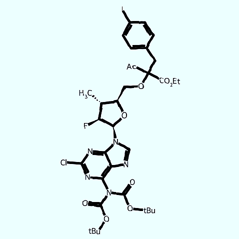 CCOC(=O)C(Cc1ccc(I)cc1)(OC[C@H]1O[C@@H](n2cnc3c(N(C(=O)OC(C)(C)C)C(=O)OC(C)(C)C)nc(Cl)nc32)[C@@H](F)[C@@H]1C)C(C)=O